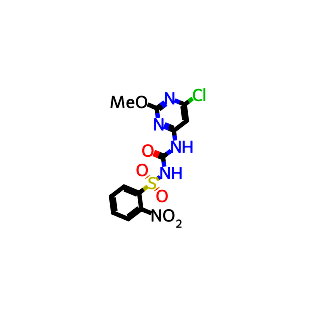 COc1nc(Cl)cc(NC(=O)NS(=O)(=O)c2ccccc2[N+](=O)[O-])n1